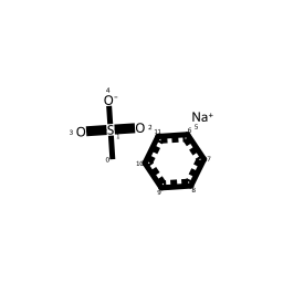 CS(=O)(=O)[O-].[Na+].c1ccccc1